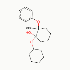 CCCCC1(Oc2ccccc2)CCCCC1(O)OC1CCCCC1